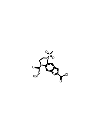 CC(C)(C)OC(=O)N1CCN(S(C)(=O)=O)c2cc3cc(C(=O)Cl)sc3cc21